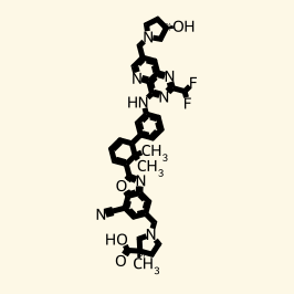 CC1(C)C(c2nc3cc(CN4CC[C@](C)(C(=O)O)C4)cc(C#N)c3o2)=CC=CC1c1cccc(Nc2nc(C(F)F)nc3cc(CN4CC[C@@H](O)C4)cnc23)c1